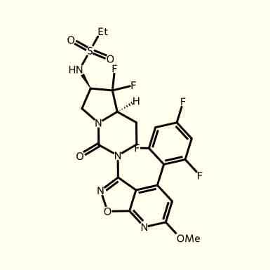 CCS(=O)(=O)N[C@@H]1CN2C(=O)N(c3noc4nc(OC)cc(-c5c(F)cc(F)cc5F)c34)CC[C@@H]2C1(F)F